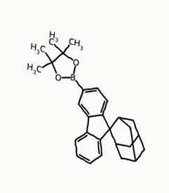 CC1(C)OB(c2ccc3c(c2)-c2ccccc2C32C3CC4CC(C3)CC2C4)OC1(C)C